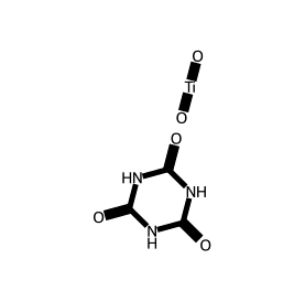 O=c1[nH]c(=O)[nH]c(=O)[nH]1.[O]=[Ti]=[O]